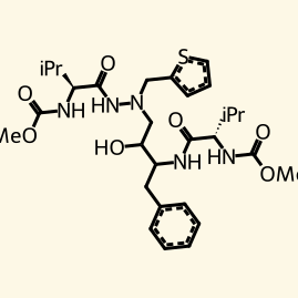 COC(=O)N[C@H](C(=O)NC(Cc1ccccc1)C(O)CN(Cc1cccs1)NC(=O)[C@@H](NC(=O)OC)C(C)C)C(C)C